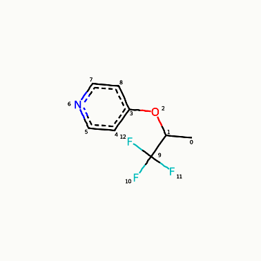 CC(Oc1ccncc1)C(F)(F)F